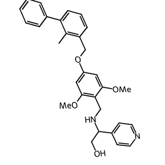 COc1cc(OCc2cccc(-c3ccccc3)c2C)cc(OC)c1CNC(CO)c1ccncc1